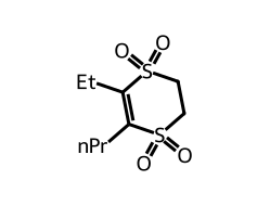 CCCC1=C(CC)S(=O)(=O)CCS1(=O)=O